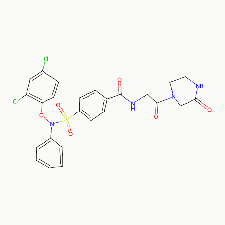 O=C1CN(C(=O)CNC(=O)c2ccc(S(=O)(=O)N(Oc3ccc(Cl)cc3Cl)c3ccccc3)cc2)CCN1